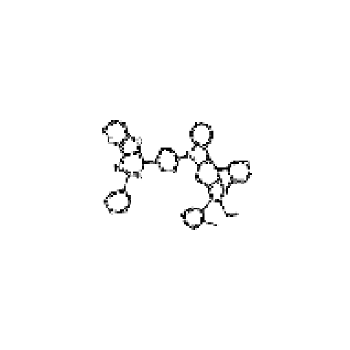 C=Cc1c(-c2ccccc2C)c2cc3c(c4ccccc4n3-c3ccc(-c4nc(-c5ccccc5)nc5c4oc4ccccc45)cc3)c3c4ccccc4n1c23